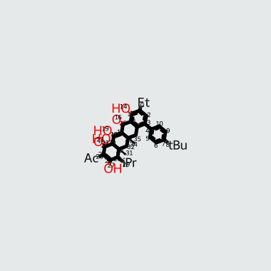 CCc1cc(-c2ccc(C(C)(C)C)cc2)c2c(c1O)C(=O)C1=C(O)[C@@]3(O)C(=O)C(C(C)=O)=C(O)C(C(C)C)[C@@]3(C)C[C@@]1(C)C2